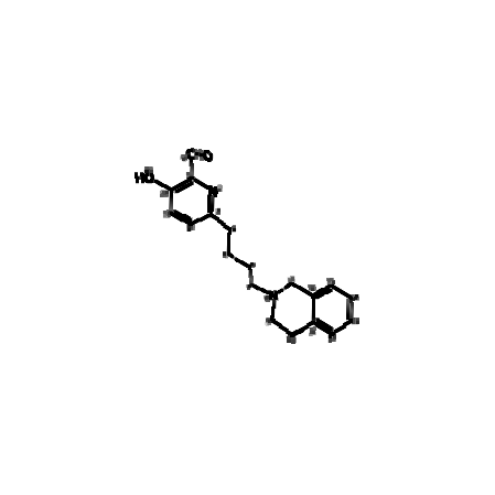 O=Cc1nc(CCCCN2CCc3ccccc3C2)ccc1O